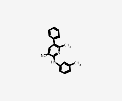 Cc1cccc(Nc2nc(C)c(-c3ccccc3)cc2C#N)c1